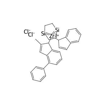 CC1=Cc2c(-c3ccccc3)cccc2[CH]1[Zr+2]1([CH]2C=Cc3ccccc32)=[Si]2CC[Si]=1CC2.[Cl-].[Cl-]